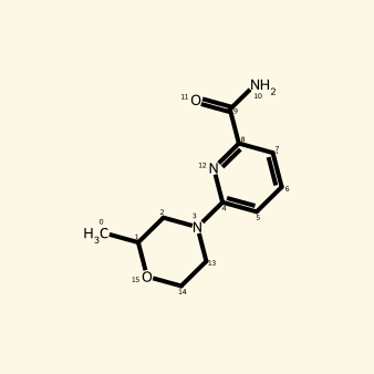 CC1CN(c2cc[c]c(C(N)=O)n2)CCO1